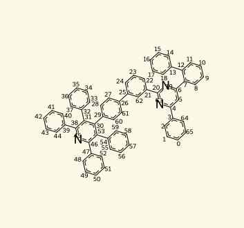 c1ccc(-c2cc(-c3ccccc3-c3ccccc3)nc(-c3cccc(-c4ccc(-c5c(-c6ccccc6)c(-c6ccccc6)nc(-c6ccccc6)c5-c5ccccc5)cc4)c3)n2)cc1